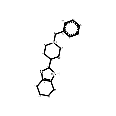 c1ccc(CN2CCC(C3NC4=C(CCCC4)O3)CC2)cc1